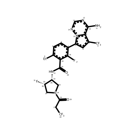 CCc1ccc(-c2cc(C(F)(F)F)c3c(N)ncnn23)c(F)c1C(=O)N[C@@H]1CN(C(=O)CC(F)(F)F)C[C@@H]1F